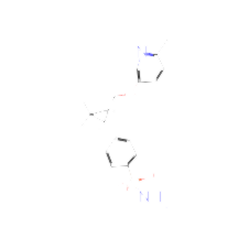 Cc1ccc(OC[C@H]2[C@H](c3ccc(S(N)(=O)=O)cc3)C2(C)C)cn1